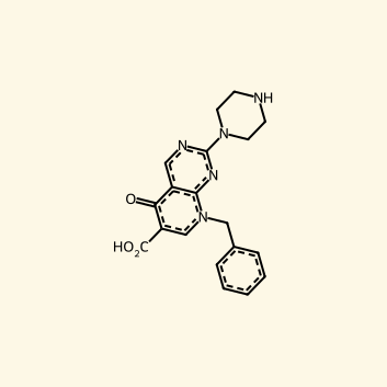 O=C(O)c1cn(Cc2ccccc2)c2nc(N3CCNCC3)ncc2c1=O